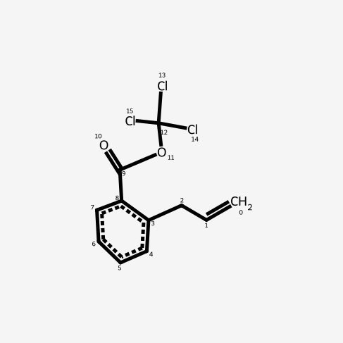 C=CCc1ccccc1C(=O)OC(Cl)(Cl)Cl